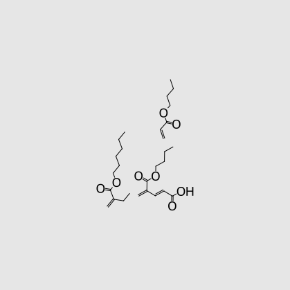 C=C(C=CC(=O)O)C(=O)OCCCC.C=C(CC)C(=O)OCCCCCC.C=CC(=O)OCCCC